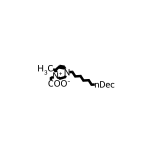 CCCCCCCCCCCCCCCCN1C#CC(C)=[N+](CC(=O)[O-])CC1